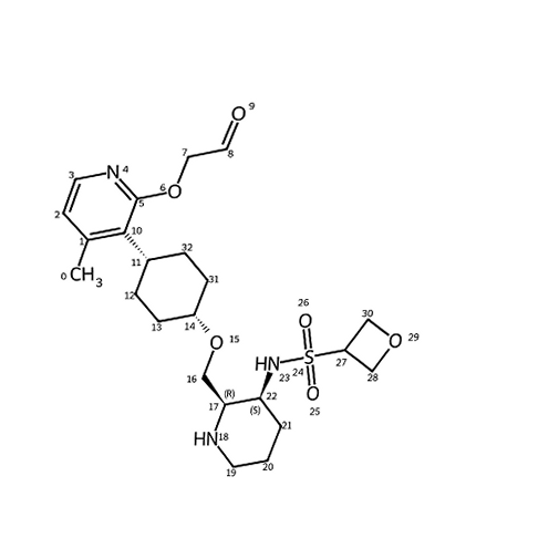 Cc1ccnc(OCC=O)c1[C@H]1CC[C@@H](OC[C@@H]2NCCC[C@@H]2NS(=O)(=O)C2COC2)CC1